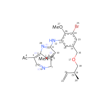 C=CC1=C(C(C)=O)\C=N/C/C(NC)=C/C(Nc2cc(COC[C@@H](C)C=C)cc(Br)c2OC)=N\1